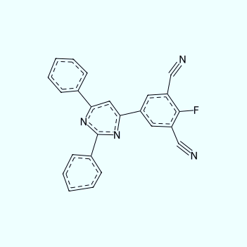 N#Cc1cc(-c2cc(-c3ccccc3)nc(-c3ccccc3)n2)cc(C#N)c1F